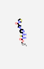 CCOC(=O)NC(=S)Nc1ccc(N2CC(C(=O)N3CCSC3)C2)cn1